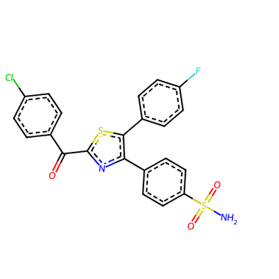 NS(=O)(=O)c1ccc(-c2nc(C(=O)c3ccc(Cl)cc3)sc2-c2ccc(F)cc2)cc1